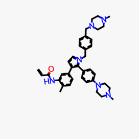 C=CC(=O)Nc1cc(-c2ccn(Cc3ccc(CN4CCN(C)CC4)cc3)c2-c2ccc(N3CCN(C)CC3)cc2)ccc1C